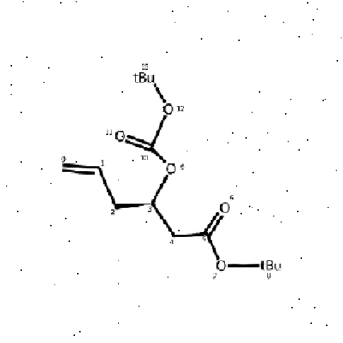 C=CC[C@H](CC(=O)OC(C)(C)C)OC(=O)OC(C)(C)C